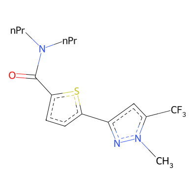 CCCN(CCC)C(=O)c1ccc(-c2cc(C(F)(F)F)n(C)n2)s1